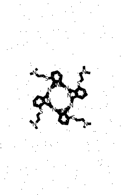 CN(C)CCSc1cccc2c1-c1nc-2nc2[nH]c(nc3nc(nc4[nH]c(n1)c1cccc(SCCN(C)C)c41)-c1cccc(SCCN(C)C)c1-3)c1cccc(SCCN(C)C)c21